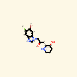 O=C(C[C@H]1NCCC[C@@H]1O)Cn1cnc2cc(F)c(Br)cc21